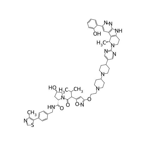 Cc1ncsc1-c1ccc(CNC(=O)[C@@H]2C[C@@H](O)CN2C(=O)C(c2cc(OCCN3CCC(N4CCC(c5cnc(N6CCc7[nH]c8nnc(-c9ccccc9O)cc8c7[C@@H]6C)nc5)CC4)CC3)no2)C(C)C)cc1